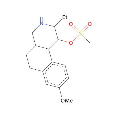 CCC1NCC2CCc3cc(OC)ccc3C2C1OS(C)(=O)=O